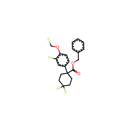 O=C(OCc1ccccc1)C1(c2ccc(OCF)c(F)c2)CCC(F)(F)CC1